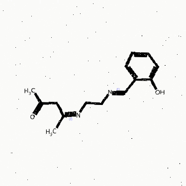 CC(=O)C/C(C)=N\CC/N=C/c1ccccc1O